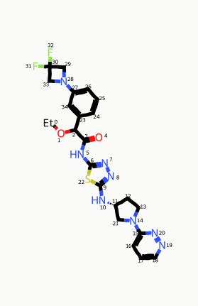 CCOC(C(=O)Nc1nnc(N[C@@H]2CCN(c3cccnn3)C2)s1)c1cccc(N2CC(F)(F)C2)c1